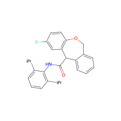 CC(C)c1cccc(C(C)C)c1NC(=O)C1c2ccccc2COc2ccc(F)cc21